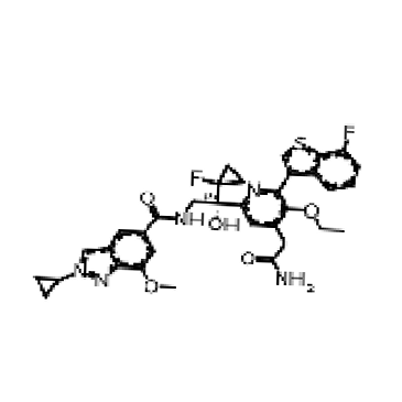 CCOc1c(CC(N)=O)cc([C@@](O)(CNC(=O)c2cc(OC)c3nn(C4CC4)cc3c2)C2(F)CC2)nc1-c1csc2c(F)cccc12